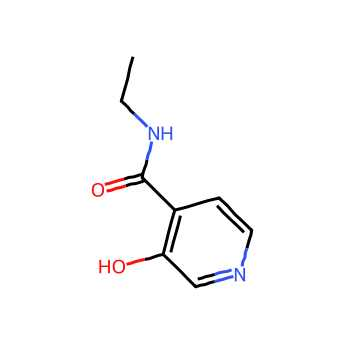 CCNC(=O)c1ccncc1O